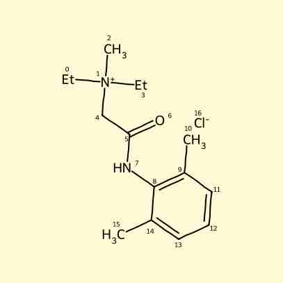 CC[N+](C)(CC)CC(=O)Nc1c(C)cccc1C.[Cl-]